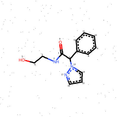 O=C(NCCO)C(c1ccccc1)n1cccn1